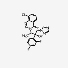 CC(n1nnc2c(Cl)cccc2c1=O)C(O)(Cn1cncn1)c1ccc(F)cc1F